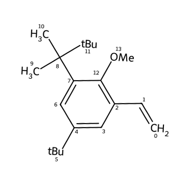 C=Cc1cc(C(C)(C)C)cc(C(C)(C)C(C)(C)C)c1OC